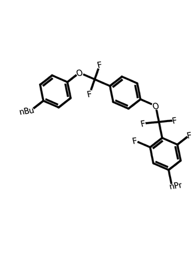 CCCCc1ccc(OC(F)(F)c2ccc(OC(F)(F)c3c(F)cc(CCC)cc3F)cc2)cc1